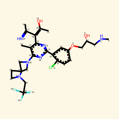 CNC[C@@H](O)COc1ccc(Cl)c(-c2nc(/C(C(C)=N)=C(\C)O)c(C)c(N3CC4(CCN4CC(F)(F)F)C3)n2)c1